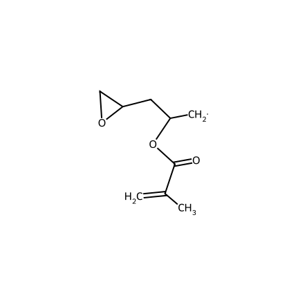 [CH2]C(CC1CO1)OC(=O)C(=C)C